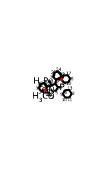 CS(=O)(=O)N1CC(P(C2CCCCC2)C2CCCCC2)C(c2ccccc2)C1(CP)c1ccccc1